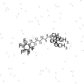 CO[SiH](OC)OC(C)CCCCCCCc1c(F)c(F)c(F)c(F)c1F